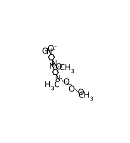 CCN(CCOCCOCCOC)c1ccc(N=Nc2ccc([N+](=O)[O-])cc2)c(OC)c1